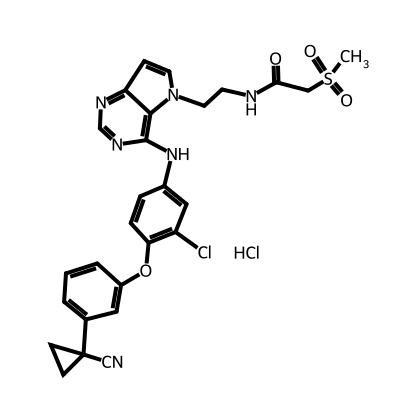 CS(=O)(=O)CC(=O)NCCn1ccc2ncnc(Nc3ccc(Oc4cccc(C5(C#N)CC5)c4)c(Cl)c3)c21.Cl